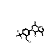 Cc1cnn2c1C(=O)N(c1ccc(C(F)(F)F)c(CO)c1)CC2C